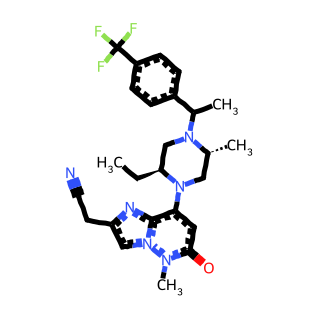 CC[C@H]1CN(C(C)c2ccc(C(F)(F)F)cc2)[C@H](C)CN1c1cc(=O)n(C)n2cc(CC#N)nc12